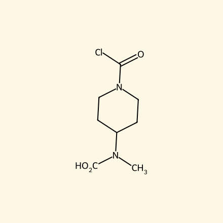 CN(C(=O)O)C1CCN(C(=O)Cl)CC1